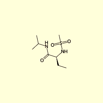 CC[C@H](NS(C)(=O)=O)C(=O)NC(C)C